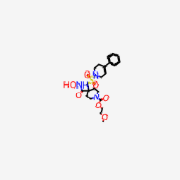 COCCOC(=O)N1CCC(CS(=O)(=O)N2CC=C(c3ccccc3)CC2)(C(=O)NO)CC1